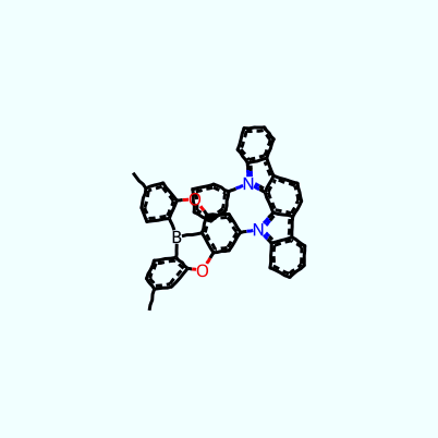 Cc1ccc2c(c1)Oc1cc(-n3c4ccccc4c4ccc5c6ccccc6n(-c6ccccc6)c5c43)cc3c1B2c1ccc(C)cc1O3